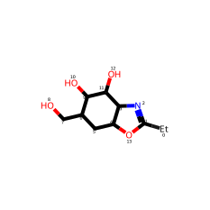 CCC1=NC2C(CC(CO)C(O)C2O)O1